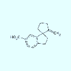 C=C1CCCC12CCc1ccc(C(=O)O)cc12